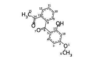 COc1ccc(C(=O)c2ccccc2C(C)=O)c(O)c1